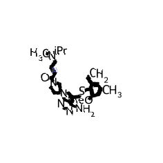 C=Cc1cc(C)cc(OC)c1SCc1cn(C2CCN(C(=O)/C=C/CN(C)C(C)C)C2)c2ncnc(N)c12